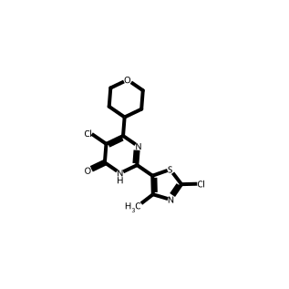 Cc1nc(Cl)sc1-c1nc(C2CCOCC2)c(Cl)c(=O)[nH]1